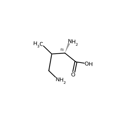 CC(CN)[C@H](N)C(=O)O